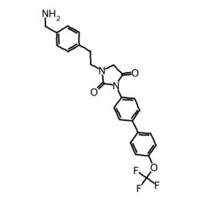 NCc1ccc(CCN2CC(=O)N(c3ccc(-c4ccc(OC(F)(F)F)cc4)cc3)C2=O)cc1